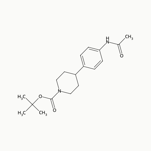 CC(=O)Nc1ccc(C2CCN(C(=O)OC(C)(C)C)CC2)cc1